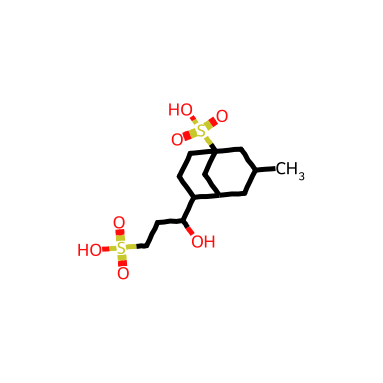 CC1CC2CC(S(=O)(=O)O)(CCC2C(O)CCS(=O)(=O)O)C1